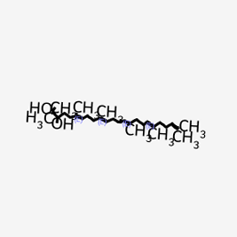 CC(C)=CCC/C(C)=C/CC/C(C)=C/CC/C=C(\C)CC/C=C(\C)CCC(O)C(C)(C)O